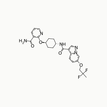 CC(F)(F)COc1ccc2c(C(=O)N[C@H]3CC[C@H](Oc4ncccc4C(N)=O)CC3)cnn2c1